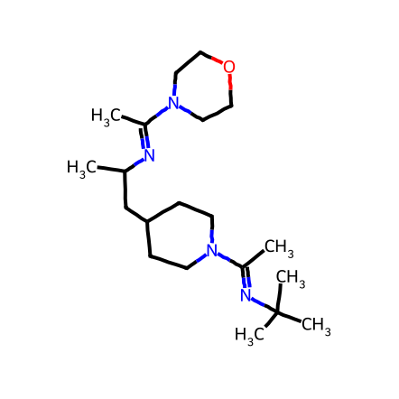 C/C(=N\C(C)CC1CCN(/C(C)=N/C(C)(C)C)CC1)N1CCOCC1